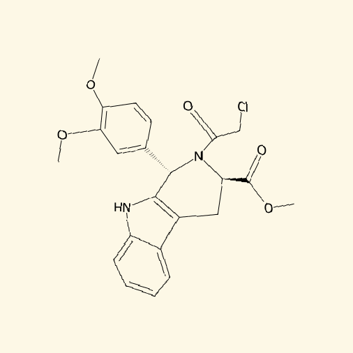 COC(=O)[C@H]1Cc2c([nH]c3ccccc23)[C@H](c2ccc(OC)c(OC)c2)N1C(=O)CCl